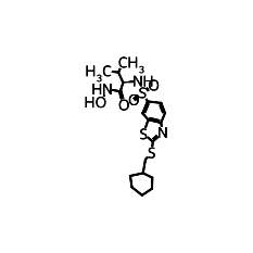 CC(C)[C@@H](NS(=O)(=O)c1ccc2nc(SCC3CCCCC3)sc2c1)C(=O)NO